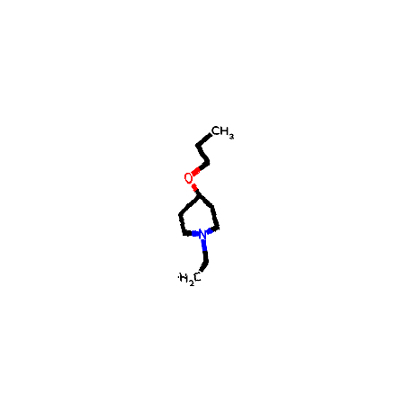 [CH2]CN1CCC(OCCC)CC1